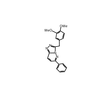 COc1ccc(Cc2nnc3ccc(-c4ccccc4)nn23)cc1OC